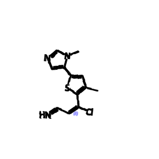 Cc1cc(-c2cncn2C)sc1/C(Cl)=C\C=N